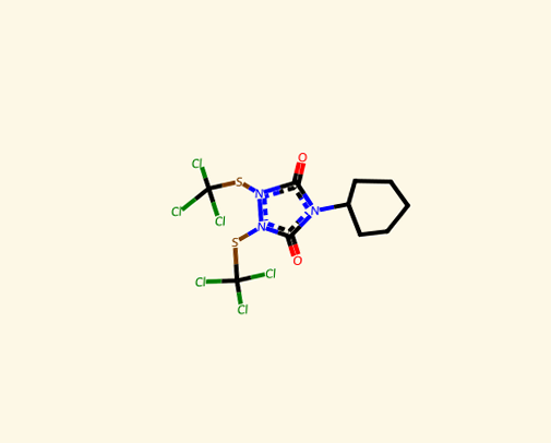 O=c1n(C2CCCCC2)c(=O)n(SC(Cl)(Cl)Cl)n1SC(Cl)(Cl)Cl